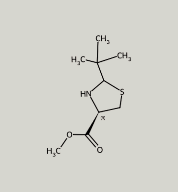 COC(=O)[C@@H]1CSC(C(C)(C)C)N1